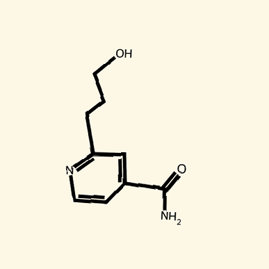 NC(=O)c1ccnc(CCCO)c1